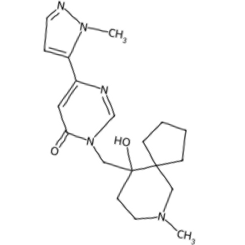 CN1CCC(O)(Cn2cnc(-c3ccnn3C)cc2=O)C2(CCCC2)C1